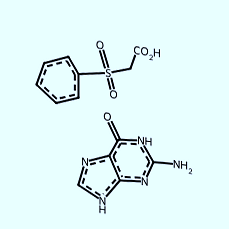 Nc1nc2[nH]cnc2c(=O)[nH]1.O=C(O)CS(=O)(=O)c1ccccc1